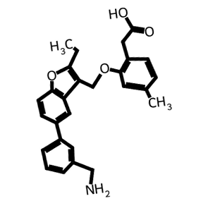 CCc1oc2ccc(-c3cccc(CN)c3)cc2c1COc1cc(C)ccc1CC(=O)O